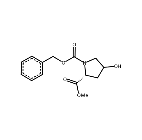 COC(=O)[C@H]1CC(O)CN1C(=O)OCc1ccccc1